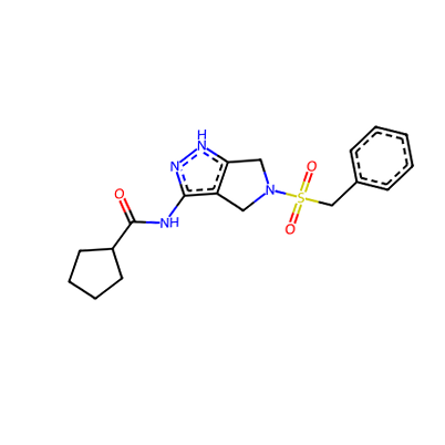 O=C(Nc1n[nH]c2c1CN(S(=O)(=O)Cc1ccccc1)C2)C1CCCC1